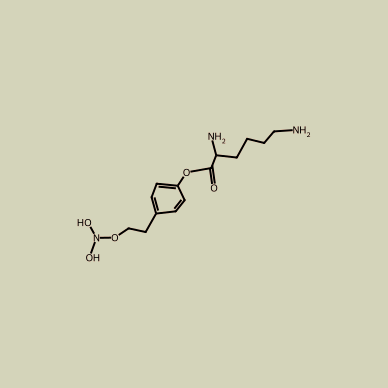 NCCCCC(N)C(=O)Oc1ccc(CCON(O)O)cc1